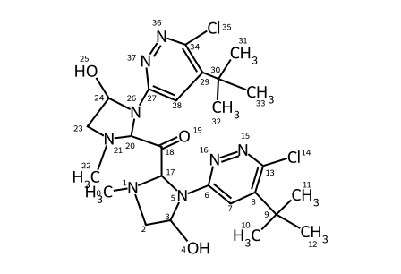 CN1CC(O)N(c2cc(C(C)(C)C)c(Cl)nn2)C1C(=O)C1N(C)CC(O)N1c1cc(C(C)(C)C)c(Cl)nn1